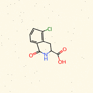 O=C1NC(C(=O)O)Cc2c(Cl)cccc21